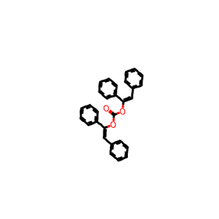 O=C(OC(=Cc1ccccc1)c1ccccc1)OC(=Cc1ccccc1)c1ccccc1